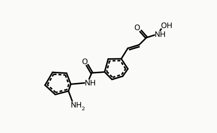 Nc1ccccc1NC(=O)c1cccc(C=CC(=O)NO)c1